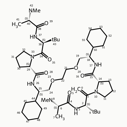 C=C([C@@H](NC(=O)[C@H](C)NC)C(C)(C)C)N1CCC[C@H]1C(=O)N[C@H](COCCOC[C@@H](NC(=O)[C@@H]1CCCN1C(=O)[C@@H](NC(=O)[C@H](C)NC)C(C)(C)C)C1CCCCC1)C1CCCCC1